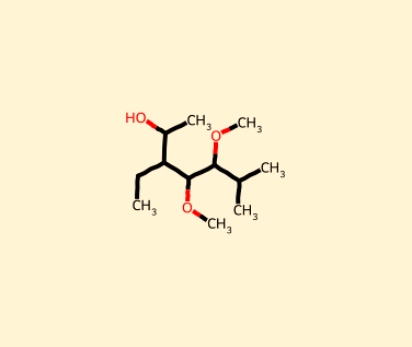 CCC(C(C)O)C(OC)C(OC)C(C)C